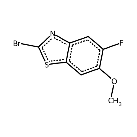 COc1cc2sc(Br)nc2cc1F